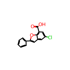 O=C(O)c1cc(Cl)cc2cc(-c3ccccc3)oc12